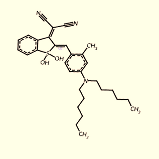 CCCCCCN(CCCCCC)c1ccc(/C=C2/C(=C(C#N)C#N)c3ccccc3S2(O)O)c(C)c1